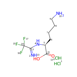 Cl.Cl.N=C(N[C@@H](CCCCN)C(=O)O)C(F)(F)F